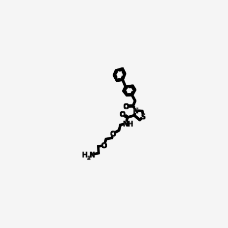 NCCOCCOCCNC(=O)C1CSCN1C(=O)Cc1ccc(-c2ccccc2)cc1